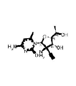 C#CC1(N)[C@@H](O)[C@@H]([C@@H](C)O)O[C@H]1n1c(C)cc(N)nc1=O